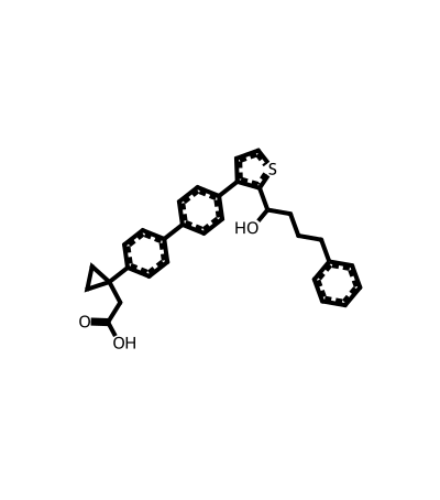 O=C(O)CC1(c2ccc(-c3ccc(-c4ccsc4C(O)CCCc4ccccc4)cc3)cc2)CC1